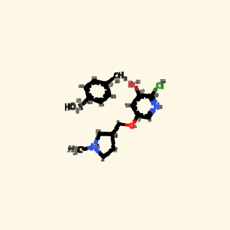 CN1CCC(COc2cnc(Cl)c(Br)c2)C1.Cc1ccc(S(=O)(=O)O)cc1